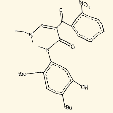 CN(C)/C=C(/C(=O)c1ccccc1[N+](=O)[O-])C(=O)N(C)c1cc(O)c(C(C)(C)C)cc1C(C)(C)C